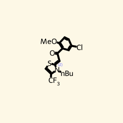 CCCCN1C(C(F)(F)F)=CS/C1=C\C(=O)c1cc(Cl)ccc1OC